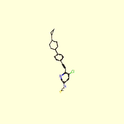 S=C=Nc1cnc(C#Cc2ccc(C3CCC(C4CC4)CC3)cc2)c(Cl)c1